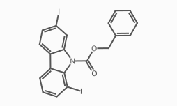 O=C(OCc1ccccc1)n1c2cc(I)ccc2c2cccc(I)c21